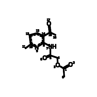 CC(=O)OCC(=O)Nc1nc(C)ccc1C(C)=O